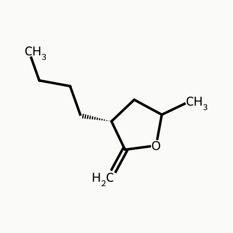 C=C1OC(C)C[C@H]1CCCC